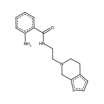 Nc1ccccc1C(=O)NCCN1CCc2ccsc2C1